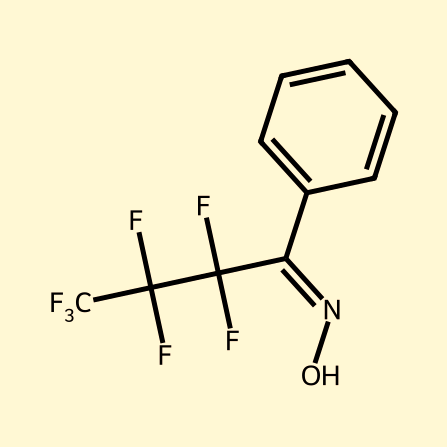 ON=C(c1ccccc1)C(F)(F)C(F)(F)C(F)(F)F